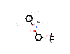 CCCC(N(NC(=O)c1cccc(B2OC(C)(C)C(C)(C)O2)c1)C(=O)c1cc(OC)ccc1OC)C(C)(C)C